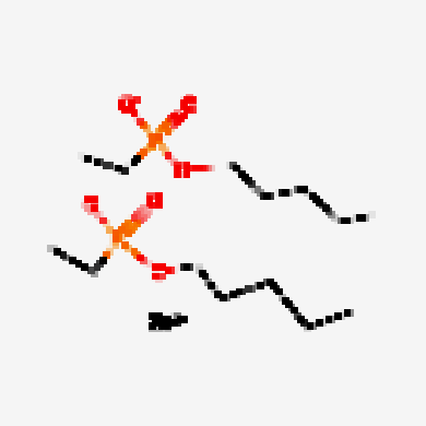 CCCCCOP(=O)([O-])CC.CCCCCOP(=O)([O-])CC.[Zn+2]